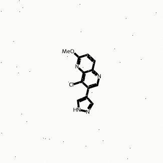 COc1ccc2ncc(-c3cn[nH]c3)c(Cl)c2n1